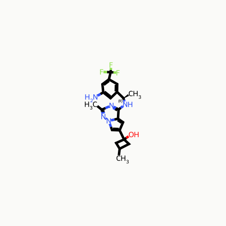 Cc1nc(N[C@H](C)c2cc(N)cc(C(F)(F)F)c2)c2cc(C3(O)CC(C)C3)cn2n1